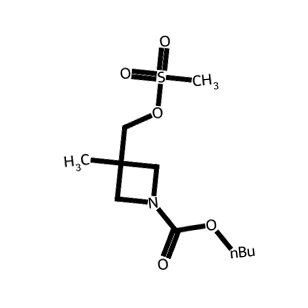 CCCCOC(=O)N1CC(C)(COS(C)(=O)=O)C1